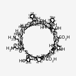 CCCC[C@H]1C(=O)N(C)[C@@H](CCCC)C(=O)N[C@@H](CCCN)C(=O)N[C@H](C(=O)NCC(N)=O)CSCC(=O)N[C@@H](Cc2ccc(O)cc2)C(=O)N2CCCC[C@H]2C(=O)N[C@@H](CC(=O)O)C(=O)N2CCC[C@H]2C(=O)N[C@@H](Cc2c[nH]cn2)C(=O)N[C@@H](CCC(=O)O)C(=O)N2C[C@H](O)C[C@H]2C(=O)N[C@@H](Cc2c[nH]c3ccccc23)C(=O)N[C@@H](CO)C(=O)N[C@@H](Cc2c[nH]c3ccccc23)C(=O)C1C